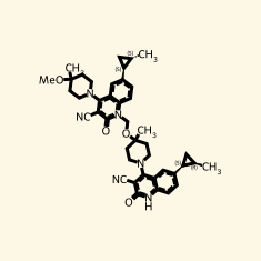 COC1(C)CCN(c2c(C#N)c(=O)n(COC3(C)CCN(c4c(C#N)c(=O)[nH]c5ccc([C@H]6C[C@H]6C)cc45)CC3)c3ccc([C@H]4C[C@@H]4C)cc23)CC1